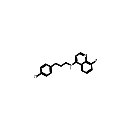 Fc1cccc2c(NCCCc3ccc(Cl)cc3)ccnc12